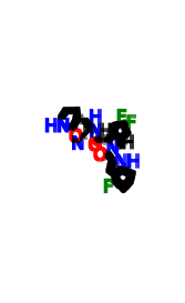 N#C[C@@H](C[C@@H]1CCCNC1=O)NC(=O)[C@@H]1[C@@H]2CC(F)(F)C[C@@H]2CN1C(=O)c1cc2c(F)cccc2[nH]1